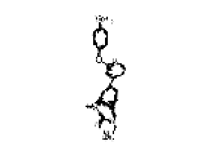 Cn1c(=O)n(CC(C)(C)C)c2ccc(-c3ccnc(Oc4ccc(N)cc4)c3)cc21